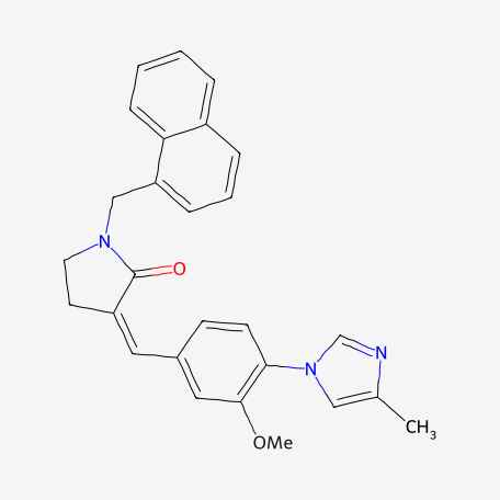 COc1cc(/C=C2/CCN(Cc3cccc4ccccc34)C2=O)ccc1-n1cnc(C)c1